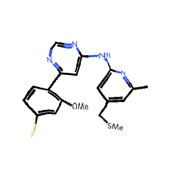 COc1cc(F)ccc1-c1cc(Nc2cc(CSC)cc(C)n2)ncn1